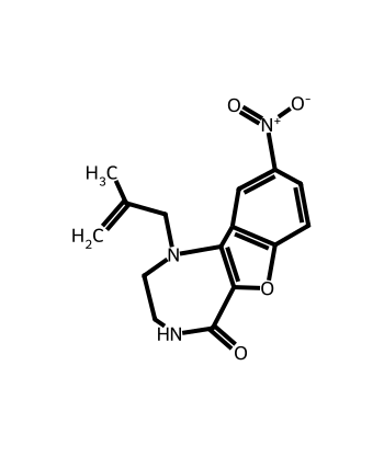 C=C(C)CN1CCNC(=O)c2oc3ccc([N+](=O)[O-])cc3c21